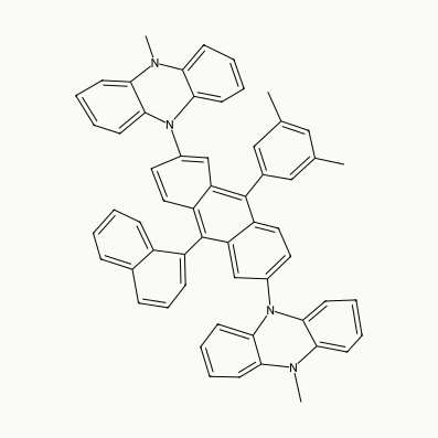 Cc1cc(C)cc(-c2c3cc(N4c5ccccc5N(C)c5ccccc54)ccc3c(-c3cccc4ccccc34)c3cc(N4c5ccccc5N(C)c5ccccc54)ccc23)c1